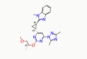 COC[C@@H](C)Oc1nc([C@@H]2C[C@H]2c2nc3ccccc3n2C)cc(-n2nc(C)nc2C)n1